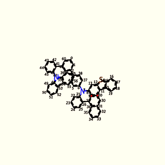 c1cc(-c2ccc(N(c3ccc4c(c3)sc3ccccc34)c3ccccc3-c3cccc4ccccc34)cc2)cc(-c2ccccc2-n2c3ccccc3c3ccccc32)c1